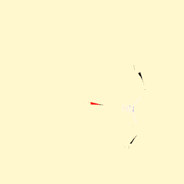 CC(C)c1cccc(O[C@@H]2C[C@H]3CCC[C@@H](C2)N3)c1